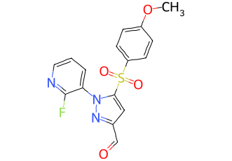 COc1ccc(S(=O)(=O)c2cc(C=O)nn2-c2cccnc2F)cc1